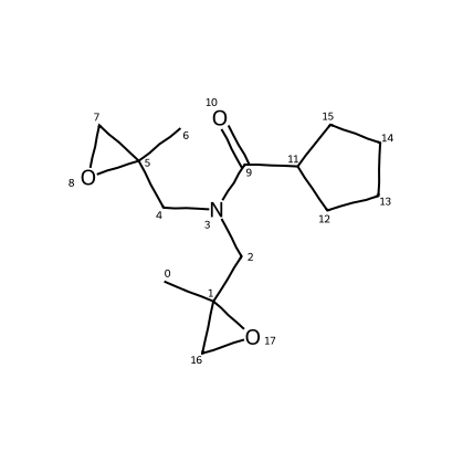 CC1(CN(CC2(C)CO2)C(=O)C2CCCC2)CO1